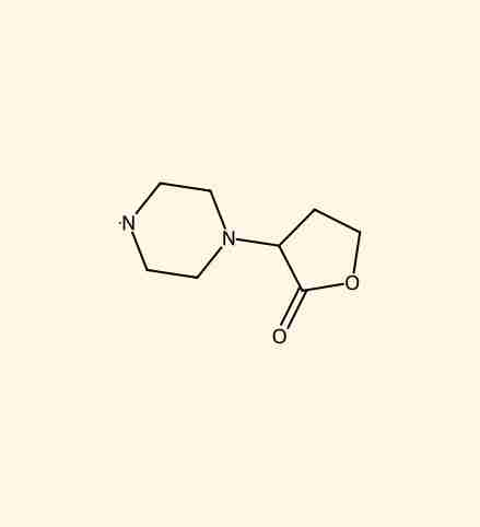 O=C1OCCC1N1CC[N]CC1